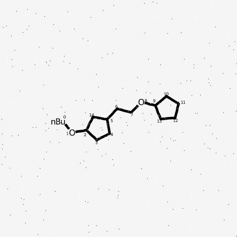 [CH2]CCCOC1CCC(CCOC2C[CH]CC2)C1